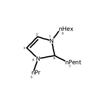 CCCCCCN1C=CN(CCC)C1CCCCC